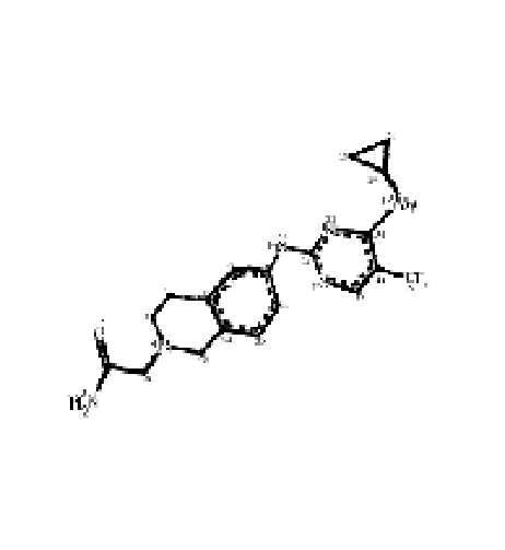 NC(=O)CN1CCc2cc(Nc3ncc(C(F)(F)F)c(NC4CC4)n3)ccc2C1